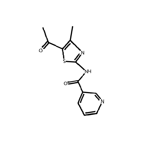 CC(=O)c1sc(NC(=O)c2cccnc2)nc1C